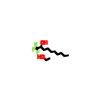 CCCCCCCCC(O)C(F)(F)F.CCO